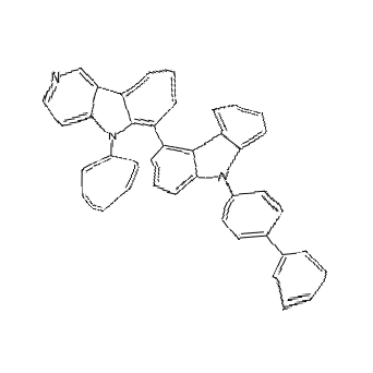 c1ccc(-c2ccc(-n3c4ccccc4c4c(-c5cccc6c7cnccc7n(-c7ccccc7)c56)cccc43)cc2)cc1